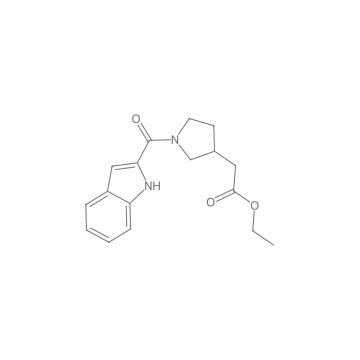 CCOC(=O)CC1CCN(C(=O)c2cc3ccccc3[nH]2)C1